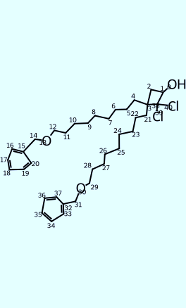 OC1CC(CCCCCCCCCOCc2ccccc2)(CCCCCCCCCOCc2ccccc2)C1(Cl)Cl